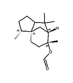 C[C@@H]1CCC2C(C)(C)[C@H]3C[C@]21CC[C@@]3(C)OC=O